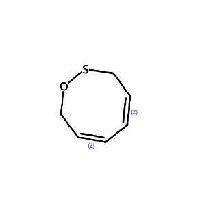 C1=C\COSC\C=C/1